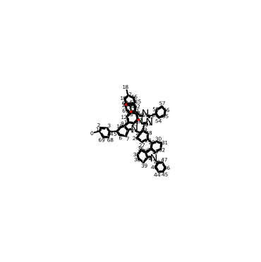 Cc1ccc(-c2ccc3c(c2)c2cc(-c4ccc(C)cc4)ccc2n3-c2ccc(-c3cccc4c3c3ccccc3n4-c3ccccc3)cc2-c2nc(-c3ccccc3)nc(-c3ccccc3)n2)cc1